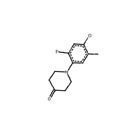 Cc1cc(N2CCC(=O)CC2)c(F)cc1Cl